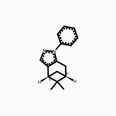 CC1(C)[C@H]2Cc3c(cnn3-c3ccccc3)[C@@H]1C2